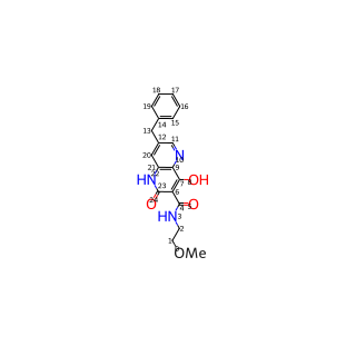 COCCNC(=O)c1c(O)c2ncc(Cc3ccccc3)cc2[nH]c1=O